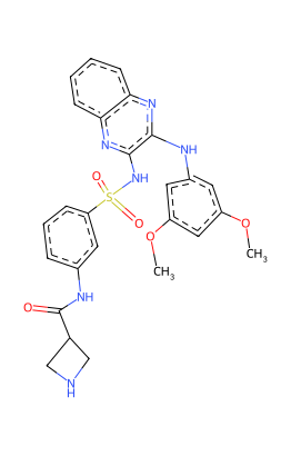 COc1cc(Nc2nc3ccccc3nc2NS(=O)(=O)c2cccc(NC(=O)C3CNC3)c2)cc(OC)c1